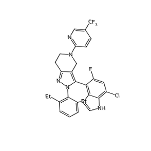 CCc1cccc(CC)c1-n1nc2c(c1-c1c(F)cc(Cl)c3[nH]ccc13)CN(c1ccc(C(F)(F)F)cn1)CC2